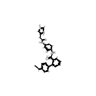 CCc1ccc(-c2ccccc2C(=O)Nc2ccc(NC(=O)Cc3cscn3)cc2)cc1